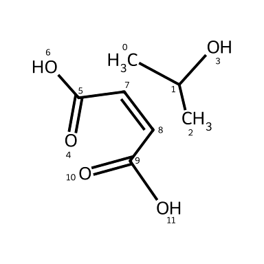 CC(C)O.O=C(O)/C=C\C(=O)O